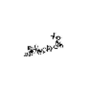 Cc1ccc(OC(F)F)c(Cn2c3cc(-c4cnc(N5CCN(C(=O)COC(=O)C(NC(=O)OC(C)(C)C)C(C)C)[C@H](C)C5)nc4)ccc3c(=O)n2C)c1